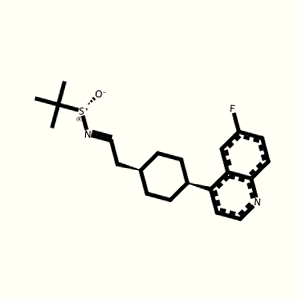 CC(C)(C)[S@+]([O-])N=CC[C@H]1CC[C@@H](c2ccnc3ccc(F)cc32)CC1